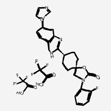 O=C(O)C(F)(F)F.O=C(O)C(F)(F)F.O=C1O[C@]2(CC[C@H](c3nc4cc(-n5ccnc5)ccc4[nH]3)CC2)CN1c1ccccc1F